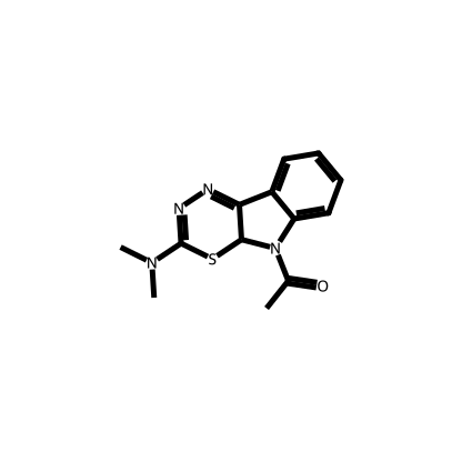 CC(=O)N1c2ccccc2C2=NN=C(N(C)C)SC21